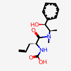 C=CC[C@@H](NC(=O)O)C(=O)N(C)[C@H](C)[C@@H](O)c1ccccc1